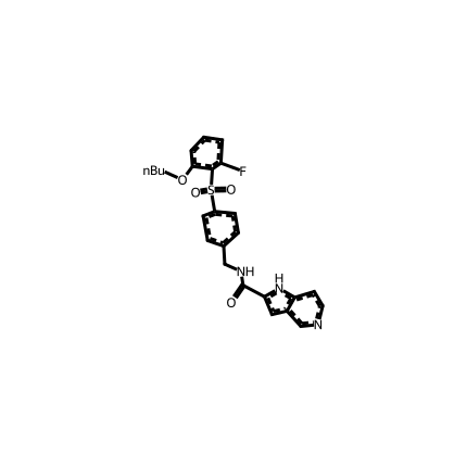 CCCCOc1cccc(F)c1S(=O)(=O)c1ccc(CNC(=O)c2cc3cnccc3[nH]2)cc1